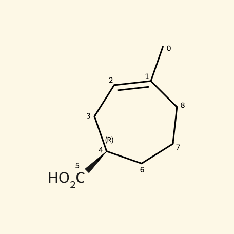 CC1=CC[C@H](C(=O)O)CCC1